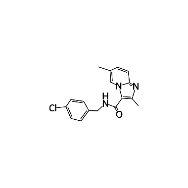 Cc1ccc2nc(C)c(C(=O)NCc3ccc(Cl)cc3)n2c1